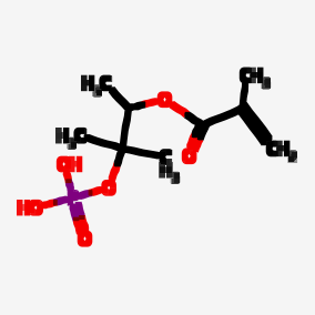 C=C(C)C(=O)OC(C)C(C)(C)OP(=O)(O)O